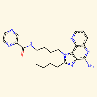 CCCCc1nc2c(N)nc3cccnc3c2n1CCCCNC(=O)c1cnccn1